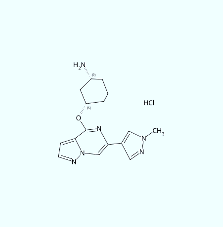 Cl.Cn1cc(-c2cn3nccc3c(O[C@H]3CCC[C@@H](N)C3)n2)cn1